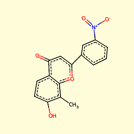 Cc1c(O)ccc2c(=O)cc(-c3cccc([N+](=O)[O-])c3)oc12